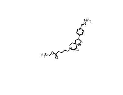 CCOC(=O)CCCCN1CCC2(CC1)CC(c1ccc(C=NN)cc1)=NO2.Cl